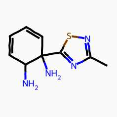 Cc1nsc(C2(N)C=CC=CC2N)n1